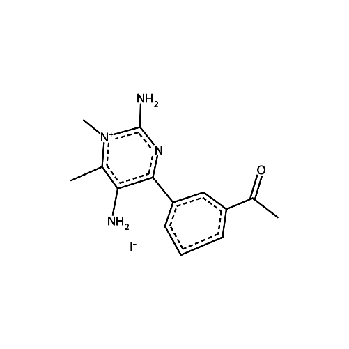 CC(=O)c1cccc(-c2nc(N)[n+](C)c(C)c2N)c1.[I-]